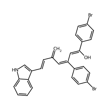 C=C(/C=C/c1c[nH]c2ccccc12)/C=C(\C=C(/O)c1ccc(Br)cc1)c1ccc(Br)cc1